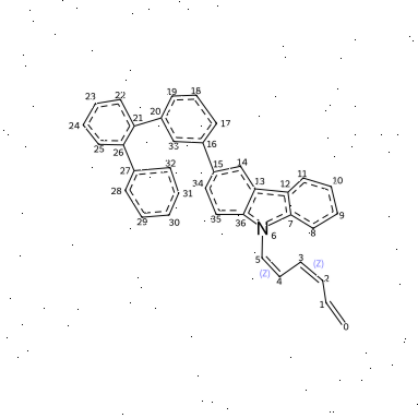 C=C/C=C\C=C/n1c2ccccc2c2cc(-c3cccc(-c4ccccc4-c4ccccc4)c3)ccc21